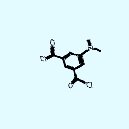 CN(C)c1cc(C(=O)Cl)cc(C(=O)Cl)c1